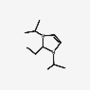 CCC1N(C(C)C)C=CN1C(C)C